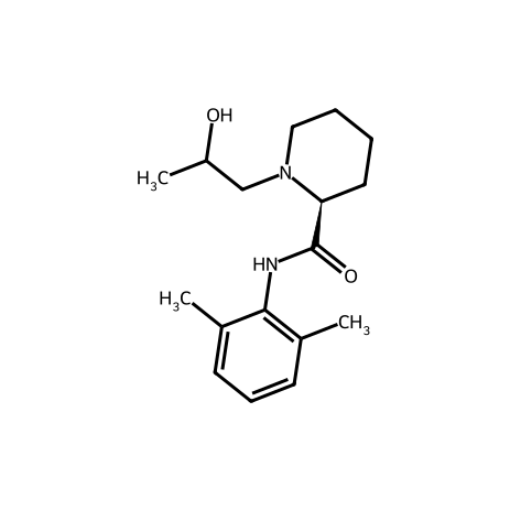 Cc1cccc(C)c1NC(=O)[C@@H]1CCCCN1CC(C)O